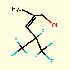 CC(=CC(F)(C(F)(F)F)C(F)(F)F)CO